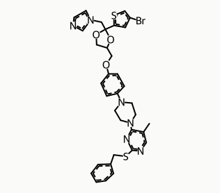 Cc1cnc(SCc2ccccc2)nc1N1CCN(c2ccc(OCC3COC(Cn4ccnc4)(c4cc(Br)cs4)O3)cc2)CC1